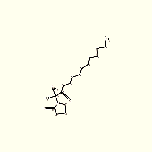 CCCCCCCCCCCC(=O)C(C)(N)N1CCCC1=O